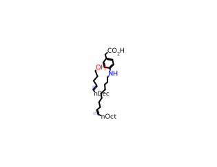 CCCCCCCC/C=C\CCCCCCCCNc1ccc(CC(=O)O)cc1.CCCCCCCCCC/C=C/CCCO